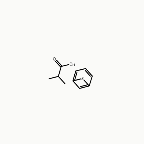 CC(C)C(=O)O.c1cc2cc(c1)S2